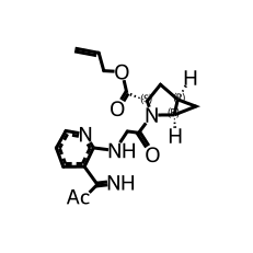 C=CCOC(=O)[C@@H]1C[C@H]2C[C@H]2N1C(=O)CNc1ncccc1C(=N)C(C)=O